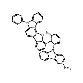 CCc1cccc(-n2c3ccccc3c3cc(N)ccc32)c1-c1cccc2c1oc1c2ccc2c1c1ccccc1n2-c1ccccc1